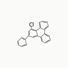 Clc1cc(-c2ccccc2)cc2c3ccccc3c3ccccc3c12